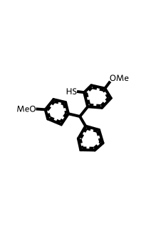 COc1ccc(C(c2ccccc2)c2ccc(OC)cc2S)cc1